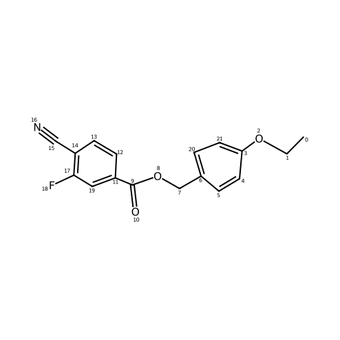 CCOc1ccc(COC(=O)c2ccc(C#N)c(F)c2)cc1